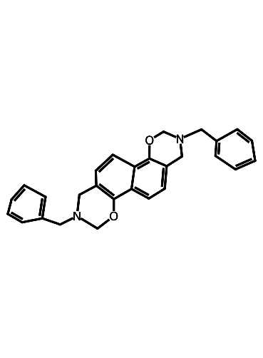 c1ccc(CN2COc3c(ccc4c5c(ccc34)CN(Cc3ccccc3)CO5)C2)cc1